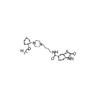 COc1ccccc1N1CCN(CCCCNC(=O)c2ccc3[nH]c(=O)sc3c2)CC1